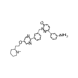 CN1CCCCC1CCOc1cnc(-c2cccc(Cn3nc(-c4cccc(N)c4)ccc3=O)c2)nc1